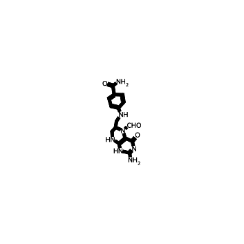 NC(=O)c1ccc(NCC2CNc3[nH]c(N)nc(=O)c3N2C=O)cc1